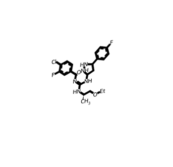 CCOC[C@H](C)N/C(=N/C(=O)c1ccc(Cl)c(F)c1)NC1CC(c2ccc(F)cc2)NN1